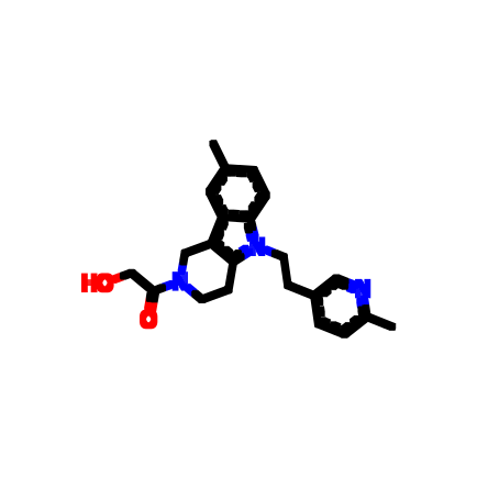 Cc1ccc2c(c1)c1c(n2CCc2ccc(C)nc2)CCN(C(=O)CO)C1